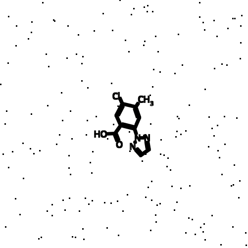 Cc1cc(-n2nccn2)c(C(=O)O)cc1Cl